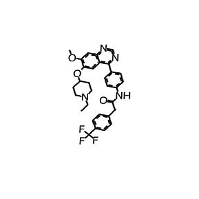 CCN1CCC(Oc2cc3c(-c4ccc(NC(=O)Cc5ccc(C(F)(F)F)cc5)cc4)ncnc3cc2OC)CC1